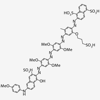 COc1ccc(Nc2ccc3c(O)c(N=Nc4cc(OC)c(N=Nc5cc(OC)c(N=Nc6cc(OCCCS(=O)(=O)O)c(N=Nc7ccc8c(S(=O)(=O)O)cccc8c7S(=O)(=O)O)cc6C)cc5OC)cc4OC)c(S(=O)(=O)O)cc3c2)cc1